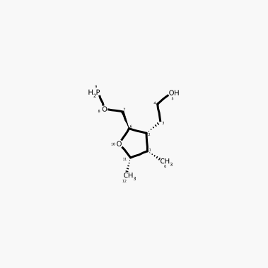 C[C@H]1[C@@H](CCO)[C@H](COP)O[C@H]1C